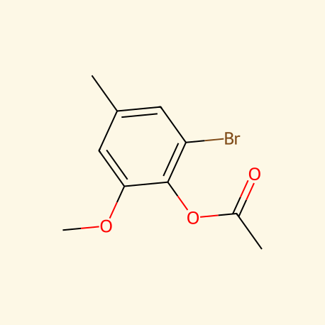 COc1cc(C)cc(Br)c1OC(C)=O